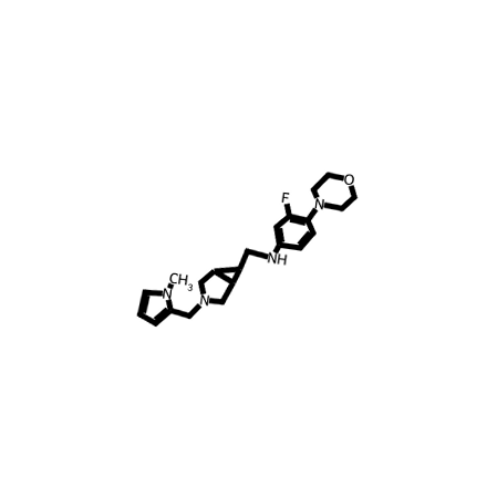 Cn1cccc1CN1CC2C(CNc3ccc(N4CCOCC4)c(F)c3)C2C1